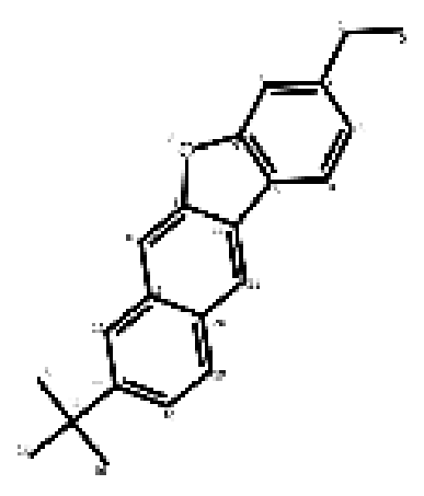 CCc1ccc2c(c1)oc1cc3cc(C(C)(C)C)ccc3cc12